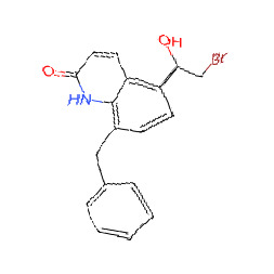 O=c1ccc2c(C(O)CBr)ccc(Cc3ccccc3)c2[nH]1